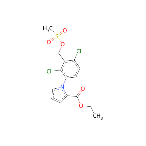 CCOC(=O)c1cccn1-c1ccc(Cl)c(COS(C)(=O)=O)c1Cl